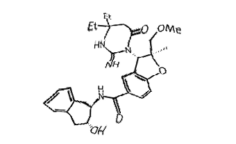 CCC1(CC)CC(=O)N([C@H]2c3cc(C(=O)N[C@@H]4c5ccccc5C[C@H]4O)ccc3O[C@]2(C)COC)C(=N)N1